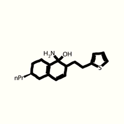 CCC[C@H]1CCC2=C(C=CC(CCc3cccs3)C2(N)O)C1